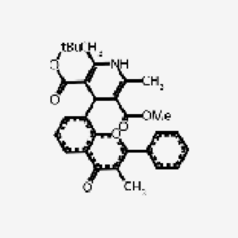 COC(=O)C1=C(C)NC(C)=C(C(=O)OC(C)(C)C)C1c1cccc2c(=O)c(C)c(-c3ccccc3)oc12